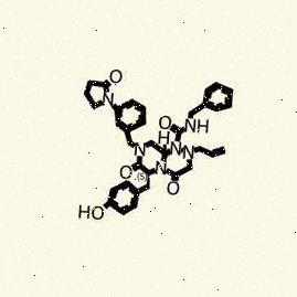 C=CCN1CC(=O)N2[C@@H](Cc3ccc(O)cc3)C(=O)N(Cc3cccc(N4CCCC4=O)c3)C[C@@H]2N1C(=O)NCc1ccccc1